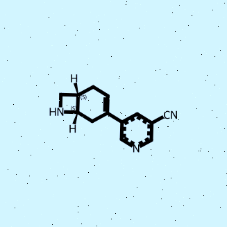 N#Cc1cncc(C2=CC[C@H]3CN[C@H]3C2)c1